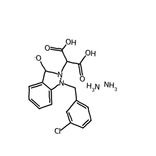 N.N.[O]C1c2ccccc2N(Cc2cccc(Cl)c2)N1C(C(=O)O)C(=O)O